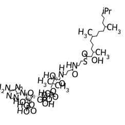 CC(C)CCCC(C)CCCC(C)CCCC(C)C(O)C(=O)SCCNC(=O)CCNC(=O)[C@H](O)C(C)(C)COP(=O)(O)OP(=O)(O)OC[C@H]1O[C@@H](n2cnc3c(N)ncnc32)[C@H](O)[C@@H]1OP(=O)(O)O